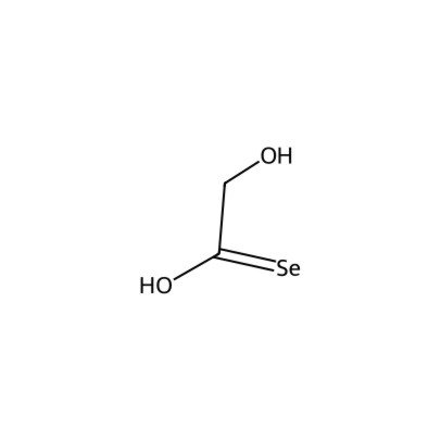 OCC(O)=[Se]